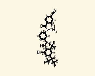 CN(C(=O)c1ccc(C#N)cc1Cl)c1cccc(C(=O)Nc2c(Br)cc(C(F)(C(F)(F)F)C(F)(F)F)cc2C(F)(F)F)c1